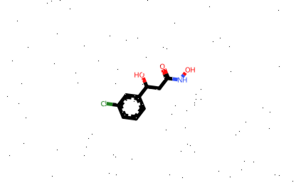 O=C(CC(O)c1cccc(Cl)c1)NO